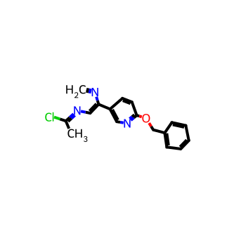 C=N/C(=C\N=C(/C)Cl)c1ccc(OCc2ccccc2)nc1